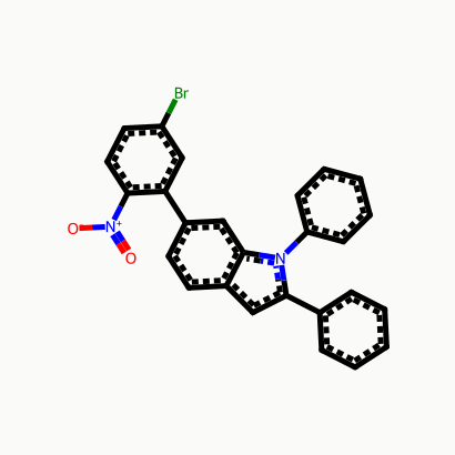 O=[N+]([O-])c1ccc(Br)cc1-c1ccc2cc(-c3ccccc3)n(-c3ccccc3)c2c1